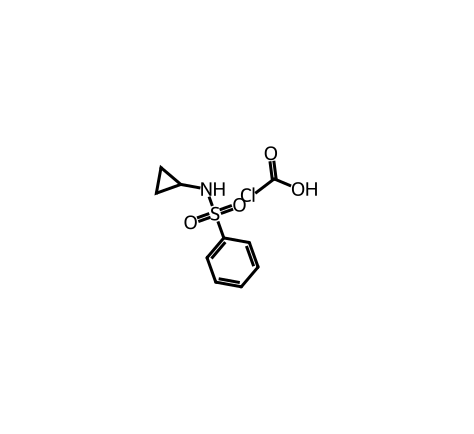 O=C(O)Cl.O=S(=O)(NC1CC1)c1ccccc1